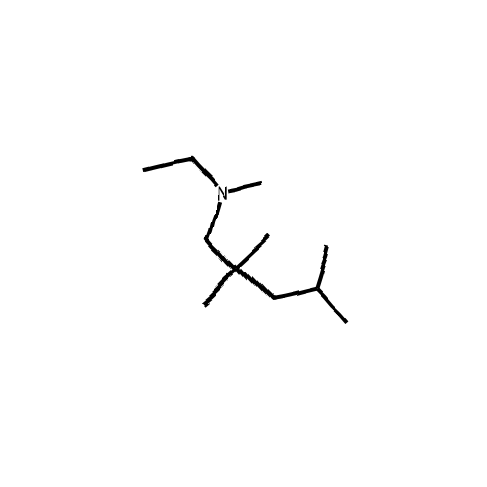 CCN(C)CC(C)(C)CC(C)C